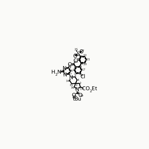 CCOC(=O)C1CC2(CCN(c3cc(O[C@H](c4ccc(Cl)cc4-c4cccc(S(C)(=O)=O)c4)C(F)(F)F)nc(N)n3)CC2)CN1C(=O)OC(C)(C)C